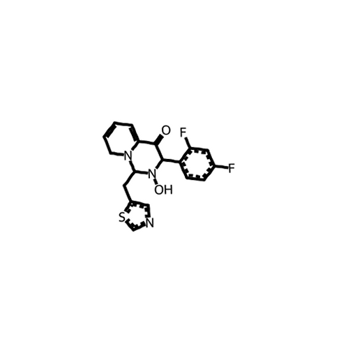 O=C1C2=CC=CCN2C(Cc2cncs2)N(O)C1c1ccc(F)cc1F